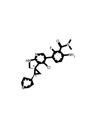 CN(C)C(=O)c1c(N)ccc(-c2cnc3c(c2Cl)[C@@]2(CN3)C[C@H]2c2ccncc2)c1F